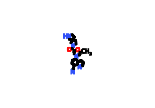 C[C@@H]1CN(c2ccc(C#N)c3ncccc23)C[C@H](C(=O)N2CCC3(CCNC3)C2)O1